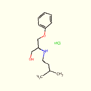 CC(C)CCNC(CO)COc1ccccc1.Cl